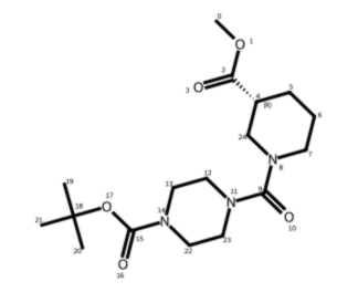 COC(=O)[C@@H]1CCCN(C(=O)N2CCN(C(=O)OC(C)(C)C)CC2)C1